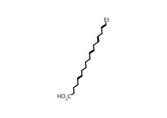 CCC=CCC=CCC=CCCCCC=CCCCC(=O)O